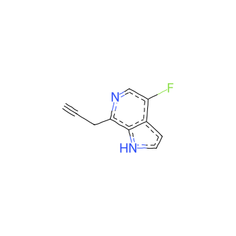 C#CCc1ncc(F)c2cc[nH]c12